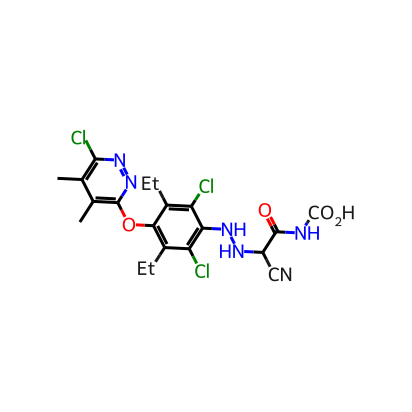 CCc1c(Cl)c(NNC(C#N)C(=O)NC(=O)O)c(Cl)c(CC)c1Oc1nnc(Cl)c(C)c1C